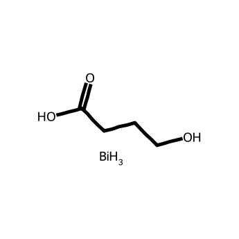 O=C(O)CCCO.[BiH3]